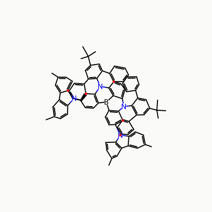 Cc1ccc2c(c1)c1cc(C)ccc1n2-c1ccc2c(c1)N(c1c(-c3ccccc3)cc(C(C)(C)C)cc1-c1ccccc1)c1cccc3c1B2c1ccc(-n2c4ccc(C)cc4c4cc(C)ccc42)cc1N3c1c(-c2ccccc2)cc(C(C)(C)C)cc1-c1ccccc1